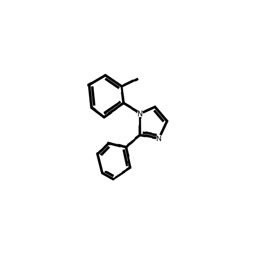 Cc1ccccc1-n1ccnc1-c1ccccc1